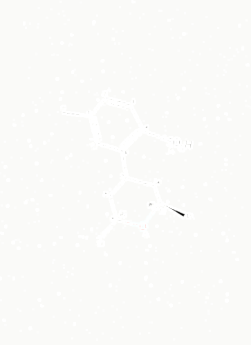 Cc1ccc(S(=O)(=O)O)c(C2C[C@@H](C)O[C@H](C)C2)c1